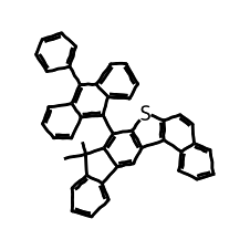 CC1(C)c2ccccc2-c2cc3c(sc4ccc5ccccc5c43)c(-c3c4ccccc4c(-c4ccccc4)c4ccccc34)c21